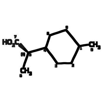 CC1CCC([C@@H](C)C(=O)O)CC1